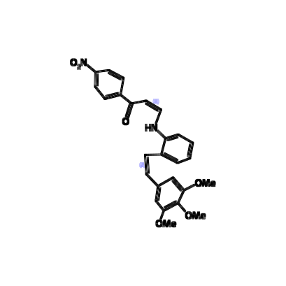 COc1cc(/C=C\c2ccccc2N/C=C\C(=O)c2ccc([N+](=O)[O-])cc2)cc(OC)c1OC